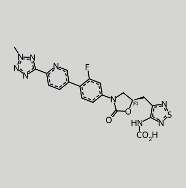 Cn1nnc(-c2ccc(-c3ccc(N4C[C@@H](Cc5nsnc5NC(=O)O)OC4=O)cc3F)cn2)n1